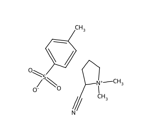 C[N+]1(C)CCCC1C#N.Cc1ccc(S(=O)(=O)[O-])cc1